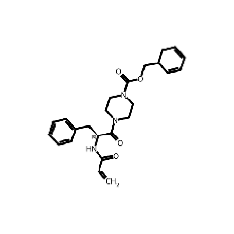 C=CC(=O)N[C@@H](Cc1ccccc1)C(=O)N1CCN(C(=O)OCC2C=CC=CC2)CC1